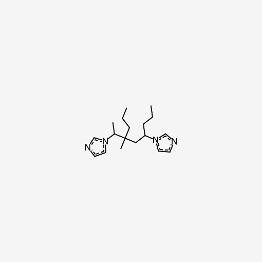 CCCC(CC(C)(CCC)C(C)n1ccnc1)n1ccnc1